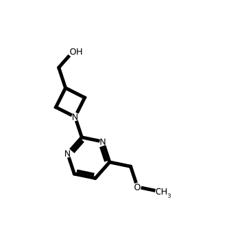 COCc1ccnc(N2CC(CO)C2)n1